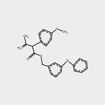 C=C(C)C(C(=O)OCc1cccc(Oc2ccccc2)c1)c1ccc(OC)cc1